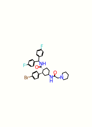 O=C(CN1CCCCC1)N[C@@H]1CC[C@@H](C(=O)NC(c2ccc(F)cc2)c2ccc(F)cc2)[C@H](c2ccc(Br)cc2)C1